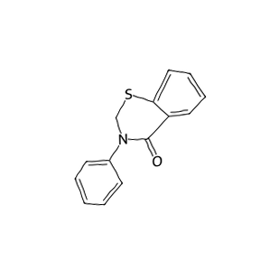 O=C1c2ccccc2SCN1c1ccccc1